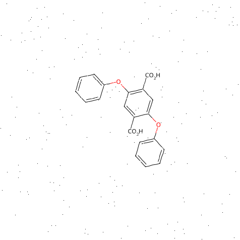 O=C(O)c1cc(Oc2ccccc2)c(C(=O)O)cc1Oc1ccccc1